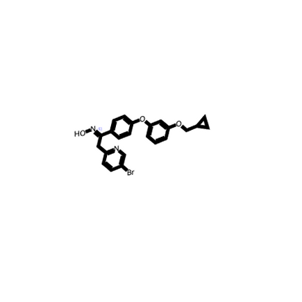 O/N=C(\Cc1ccc(Br)cn1)c1ccc(Oc2cccc(OCC3CC3)c2)cc1